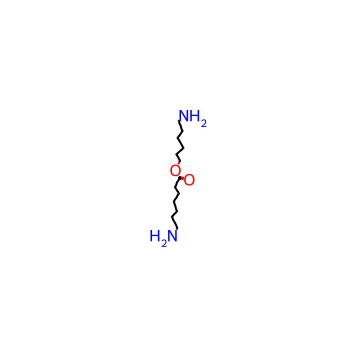 NCCCCCCOC(=O)CCCCCCN